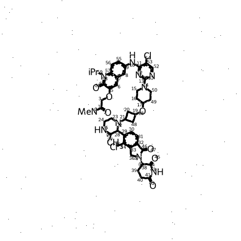 CNC(=O)COc1cc2cc(Nc3nc(N4CCC(OC5CC(N6CCN[C@H](C)C6c6ccc7c(c6Cl)CN([C@@H]6CCC(=O)NC6=O)C7=O)C5)CC4)ncc3Cl)ccc2n(C(C)C)c1=O